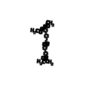 C=CC(=O)Oc1ccc(-c2ccc(CCC(=O)Oc3ccc(-c4ccc(OC(=O)C(=C)C)cc4)cc3F)cc2)cc1OC(=O)C=C